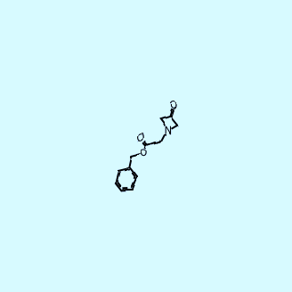 O=C1CN(CC(=O)OCc2ccccc2)C1